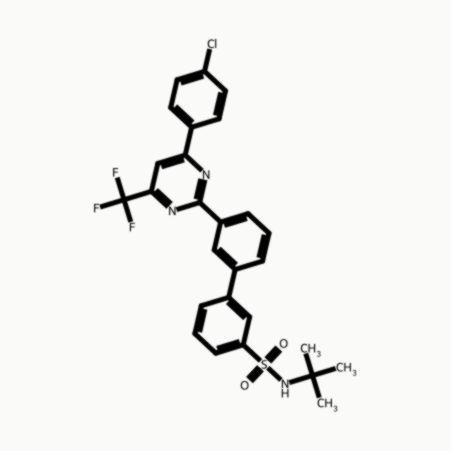 CC(C)(C)NS(=O)(=O)c1cccc(-c2cccc(-c3nc(-c4ccc(Cl)cc4)cc(C(F)(F)F)n3)c2)c1